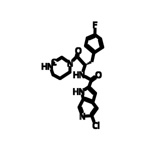 O=C(N[C@@H](Cc1ccc(F)cc1)C(=O)N1CCCNCC1)c1cc2cc(Cl)ncc2[nH]1